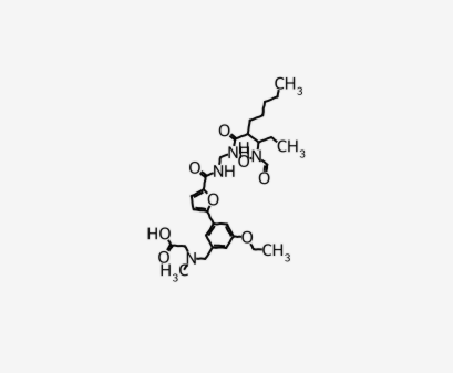 CCCCCC(C(=O)NCNC(=O)c1ccc(-c2cc(CN(C)CC(=O)O)cc(OCC)c2)o1)C(CC)N(O)C=O